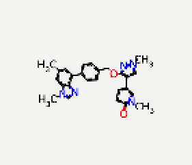 Cc1cc(-c2ccc(COc3nn(C)cc3-c3ccc(=O)n(C)c3)cc2)c2ncn(C)c2c1